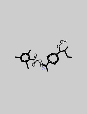 CCC(C)C(OO)c1ccc(/C(C)=N\OS(=O)(=O)c2c(C)cc(C)cc2C)cc1